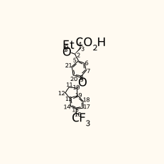 CCO[C@@H](CC(=O)O)c1ccc(OC2CCc3cc(C(F)(F)F)ccc32)cc1